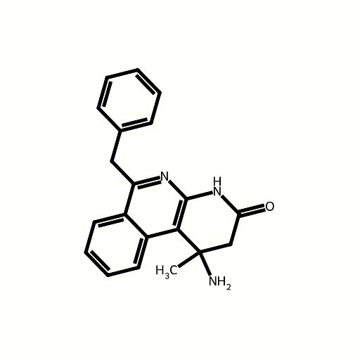 CC1(N)CC(=O)Nc2nc(Cc3ccccc3)c3ccccc3c21